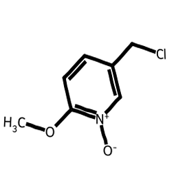 COc1ccc(CCl)c[n+]1[O-]